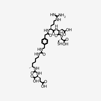 C[C@H](CCCCNC(=O)NCc1ccc(CC(=O)N[C@@H](CCCNC(=N)N)C(=O)N[C@@H](CC(=O)O)C(=O)N[C@@H](CS)C(=O)O)cc1)NC(=O)N[C@@H](CCC(=O)O)C(=O)O